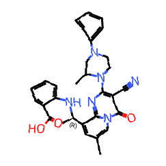 Cc1cc([C@@H](C)Nc2ccccc2C(=O)O)c2nc(N3CCN(c4ccccc4)CC3C)c(C#N)c(=O)n2c1